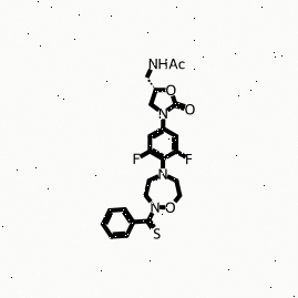 CC(=O)NC[C@H]1CN(c2cc(F)c(N3CCON(C(=S)c4ccccc4)CC3)c(F)c2)C(=O)O1